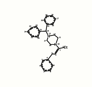 CCC(=CCc1ccccc1)N1CCN(C(c2ccccc2)c2ccccc2)CC1